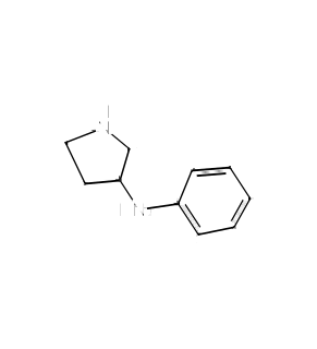 c1ccc(NC2CCNC2)cc1